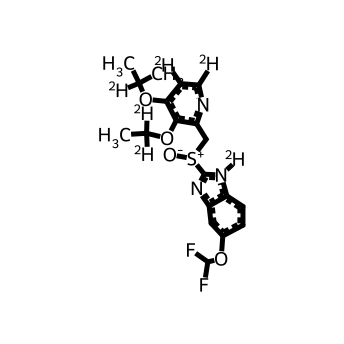 [2H]c1nc(C[S+]([O-])c2nc3cc(OC(F)F)ccc3n2[2H])c(OC([2H])([2H])C)c(OC([2H])(C)C)c1[2H]